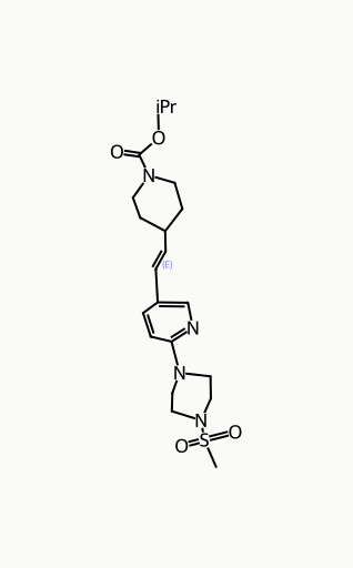 CC(C)OC(=O)N1CCC(/C=C/c2ccc(N3CCN(S(C)(=O)=O)CC3)nc2)CC1